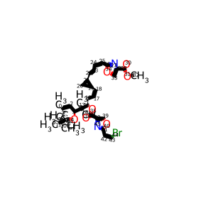 C/C=C/[C@H](O[Si](C)(C)C(C)(C)C)C(C)(C)[C@H](C/C=C\[C@H]1C[C@H]1/C=C/C=C\c1nc(C(=O)OC)co1)OC(=O)c1coc(/C=C\Br)n1